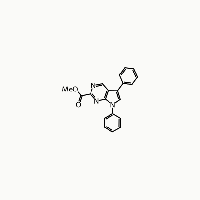 COC(=O)c1ncc2c(-c3ccccc3)cn(-c3ccccc3)c2n1